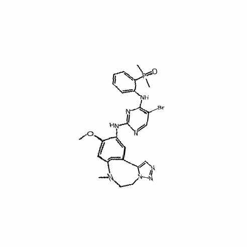 COc1cc2c(cc1Nc1ncc(Br)c(Nc3ccccc3P(C)(C)=O)n1)-c1cnnn1CCN2C